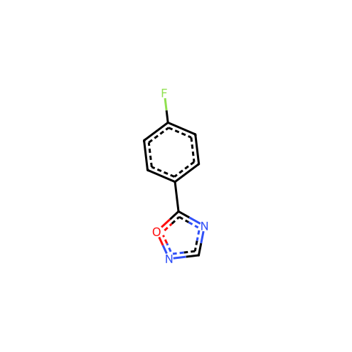 Fc1ccc(-c2ncno2)cc1